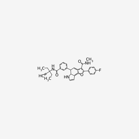 C#CC(CC)(CC)NC(=O)c1cccc(C2C=c3c(C(=O)NC)c(-c4ccc(F)cc4)oc3=C3C=CNC32)c1